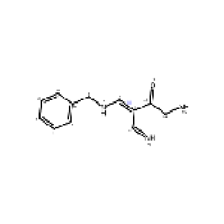 N=C/C(=C\NCc1ccccc1)C(=O)CS